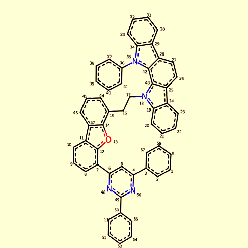 c1ccc(-c2cc(-c3cccc4c3oc3c(CCn5c6ccccc6c6ccc7c8ccccc8n(-c8ccccc8)c7c65)cccc34)nc(-c3ccccc3)n2)cc1